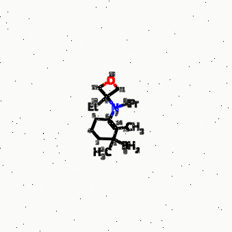 BC1(C)CCCC(N(C(C)C)C2(CC)COC2)=C1C